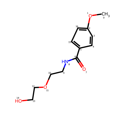 COc1ccc(C(=O)NCCOCCO)cc1